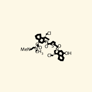 CNCCN(C)C(=O)Oc1cc2c(c3ccccc13)[C@H](CCl)CN2C(=O)c1ccc(C(=O)N2C[C@@H](CCl)c3c2cc(O)c2ccccc32)s1